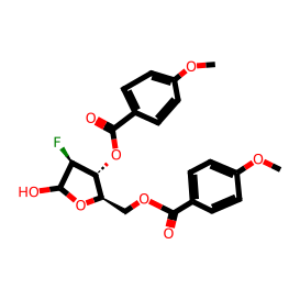 COc1ccc(C(=O)OC[C@H]2OC(O)[C@@H](F)[C@@H]2OC(=O)c2ccc(OC)cc2)cc1